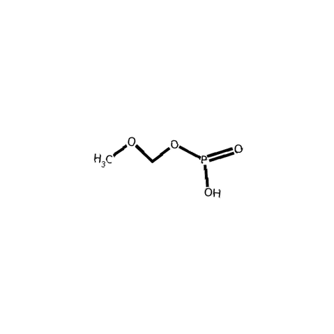 COCO[P](=O)O